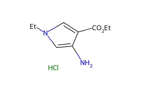 CCOC(=O)c1cn(CC)cc1N.Cl